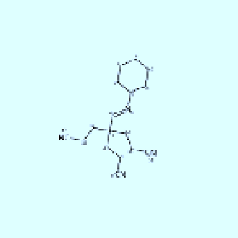 N#CCCC(/C=N/C1CCCCC1)(CCC#N)CCC#N